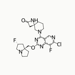 O=C1C[C@]2(CCCN(c3nc(OC[C@@]45CCCN4C[C@H](F)C5)nc4c(F)c(Cl)ncc34)C2)N1